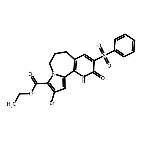 CCOC(=O)c1c(Br)cc2n1CCCc1cc(S(=O)(=O)c3ccccc3)c(=O)[nH]c1-2